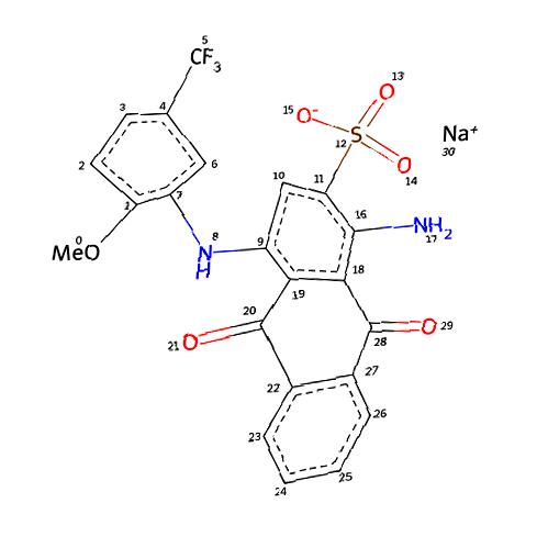 COc1ccc(C(F)(F)F)cc1Nc1cc(S(=O)(=O)[O-])c(N)c2c1C(=O)c1ccccc1C2=O.[Na+]